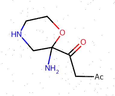 CC(=O)CC(=O)C1(N)CNCCO1